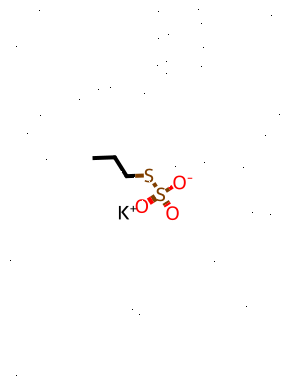 CCCSS(=O)(=O)[O-].[K+]